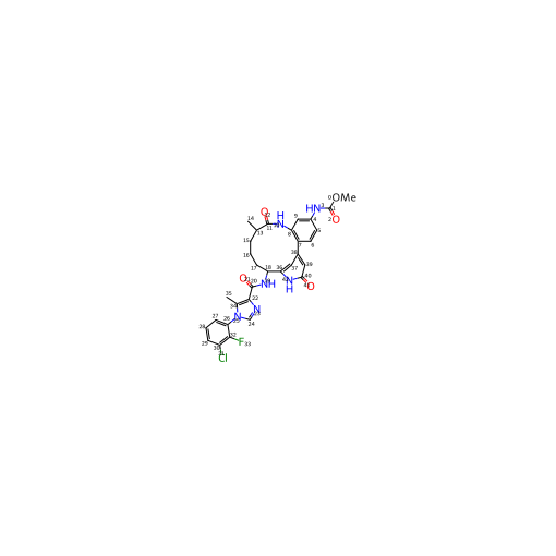 COC(=O)Nc1ccc2c(c1)NC(=O)C(C)CCCC(NC(=O)c1ncn(-c3cccc(Cl)c3F)c1C)c1cc-2cc(=O)[nH]1